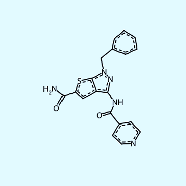 NC(=O)c1cc2c(NC(=O)c3ccncc3)nn(Cc3ccccc3)c2s1